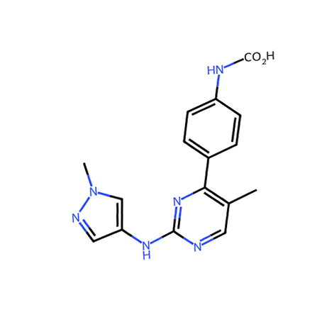 Cc1cnc(Nc2cnn(C)c2)nc1-c1ccc(NC(=O)O)cc1